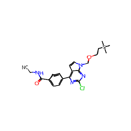 C[Si](C)(C)CCOCn1ccc2c(-c3ccc(C(=O)NCC#N)cc3)nc(Cl)nc21